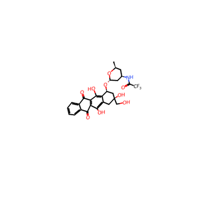 C[C@H]1C[C@@H](NC(=O)C(F)(F)F)C[C@H](O[C@H]2C[C@](O)(CO)Cc3c(O)c4c(c(O)c32)C(=O)c2ccccc2C4=O)O1